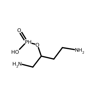 NCCC(CN)O[PH](=O)O